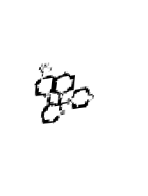 CN1CCN(C2CCC[N]C2(N2CCCCC2)N2CCOCC2)CC1